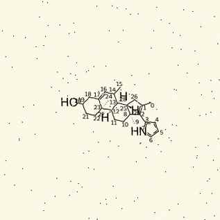 CC1=C(c2ccc[nH]2)[C@@]2(C)CC[C@@H]3[C@@H](C(C)C=C4CC(O)CC[C@@]43C)[C@@H]2C1